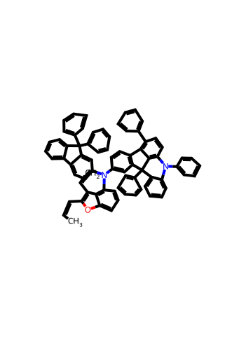 C=Cc1c(/C=C\C)oc2cccc(N(c3ccc4c(c3)C(c3ccccc3)(c3ccccc3)c3ccccc3-4)c3ccc4c(c3)C3(c5ccccc5)c5ccccc5N(c5ccccc5)c5ccc(-c6ccccc6)c-4c53)c12